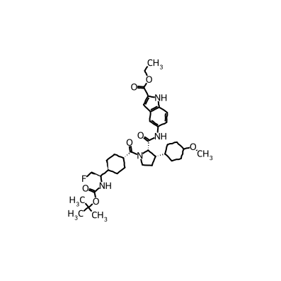 CCOC(=O)c1cc2cc(NC(=O)[C@@H]3[C@H](C4CCC(OC)CC4)CCN3C(=O)[C@H]3CC[C@H]([C@H](CF)NC(=O)OC(C)(C)C)CC3)ccc2[nH]1